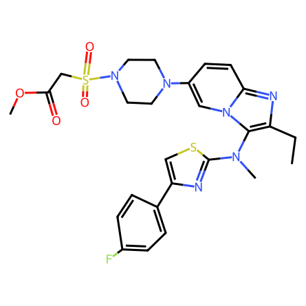 CCc1nc2ccc(N3CCN(S(=O)(=O)CC(=O)OC)CC3)cn2c1N(C)c1nc(-c2ccc(F)cc2)cs1